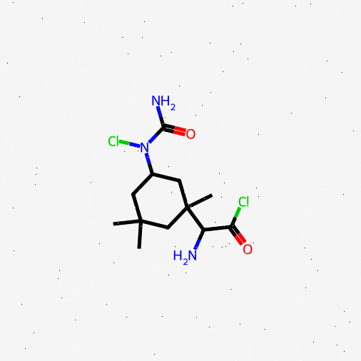 CC1(C)CC(N(Cl)C(N)=O)CC(C)(C(N)C(=O)Cl)C1